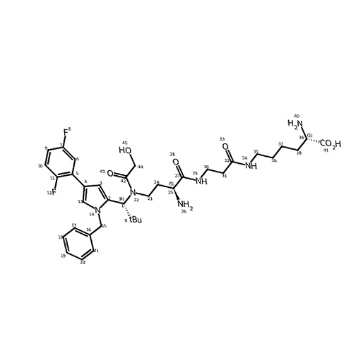 CC(C)(C)[C@H](c1cc(-c2cc(F)ccc2F)cn1Cc1ccccc1)N(CC[C@H](N)C(=O)NCCC(=O)NCCCC[C@H](N)C(=O)O)C(=O)CO